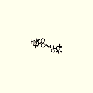 CN1C(C)(C)CC(C(=O)OCCOC(=O)C2CC(C)(C)NC2(C)C)C1(C)C